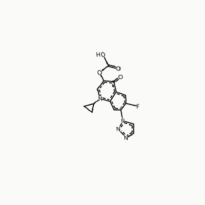 O=C(O)Oc1cn(C2CC2)c2cc(-n3ccnn3)c(F)cc2c1=O